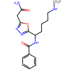 NC(=O)Cc1nnc(C(CCCCNC(=O)O)NC(=O)c2ccccc2)o1